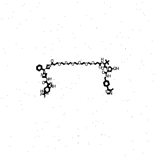 Cc1ncsc1-c1ccc(CNC(=O)[C@@H]2C[C@@H](O)CN2C(=O)[C@@H](NC(=O)CCOCCOCCOCCOCCOCCOCCC(=O)N2CC([C@@H](c3ccccc3)n3cc(NC(=O)c4n[nH]c5c4C[C@@H]4C(F)(F)[C@]4(C)C5)cn3)C2)C(C)(C)C)cc1